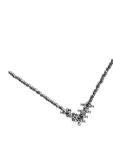 O=P(O)(O)O.O=P(O)(O)O.O=P(O)(O)O.O=P(O)(O)O.O=P(O)(O)O.O=P(O)(O)O.[K+].[K+].[K+].[K+].[K+].[K+].[K+].[K+].[K+].[K+].[K+].[K+].[K+].[K+].[K+].[K+].[K+].[K+].[K+].[K+].[K+].[K+].[K+].[K+].[K+].[K+].[K+].[K+].[K+].[K+].[K+].[K+].[K+].[K+].[K+].[K+].[K+].[K+].[K+].[K+].[K+].[K+].[K+].[K+].[K+].[K+].[K+].[K+].[K+].[K+].[K+].[K+].[K+].[K+].[K+].[K+].[K+].[K+].[K+].[K+].[K+].[K+].[K+].[K+].[K+].[K+]